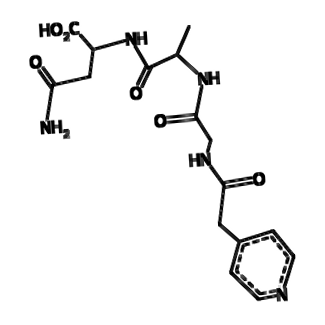 CC(NC(=O)CNC(=O)Cc1ccncc1)C(=O)NC(CC(N)=O)C(=O)O